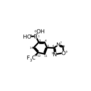 OB(O)c1cc(-c2ncon2)cc(C(F)(F)F)c1